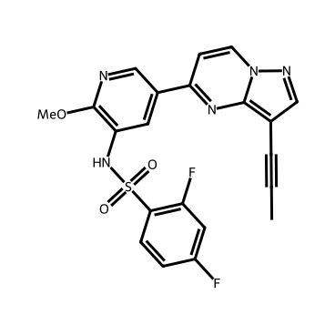 CC#Cc1cnn2ccc(-c3cnc(OC)c(NS(=O)(=O)c4ccc(F)cc4F)c3)nc12